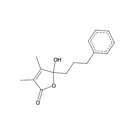 CC1=C(C)C(O)(CCCc2ccccc2)OC1=O